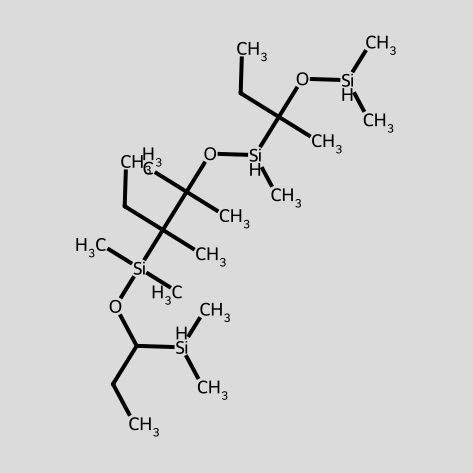 CCC(O[Si](C)(C)C(C)(CC)C(C)(C)O[SiH](C)C(C)(CC)O[SiH](C)C)[SiH](C)C